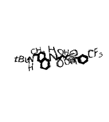 C[C@@H](NC(C)(C)C)c1ccc2c(c1)CCCC2NC(=O)[C@H](O)[C@H](O)CS(=O)(=O)c1cccc(C(F)(F)F)c1